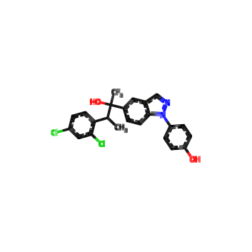 CC(c1ccc(Cl)cc1Cl)C(O)(c1ccc2c(cnn2-c2ccc(O)cc2)c1)C(F)(F)F